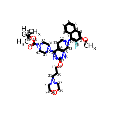 COC1=CC2C=CC=CC2C(N2CCc3c(nc(OCCCN4CCOCC4)nc3N3CCN(C(=O)OC(C)(C)C)CC3)C2)=C1F